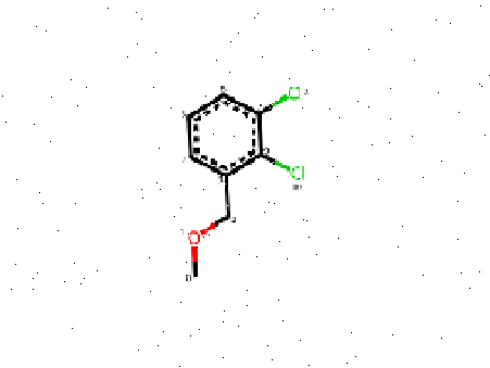 CO[CH]c1cccc(Cl)c1Cl